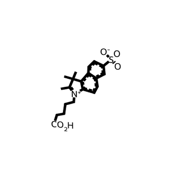 CC1=[N+](CCCCC(=O)O)c2ccc3cc(S(=O)(=O)[O-])ccc3c2C1(C)C